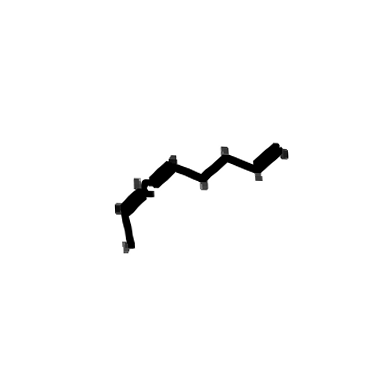 C=CCCC=C=CC